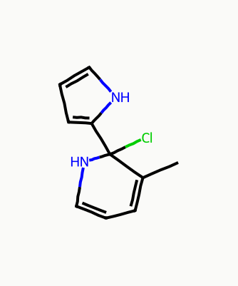 CC1=CC=CNC1(Cl)c1ccc[nH]1